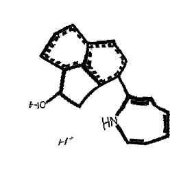 OC1Cc2c(C3=CC=CC=CN3)ccc3cccc1c23.[H+]